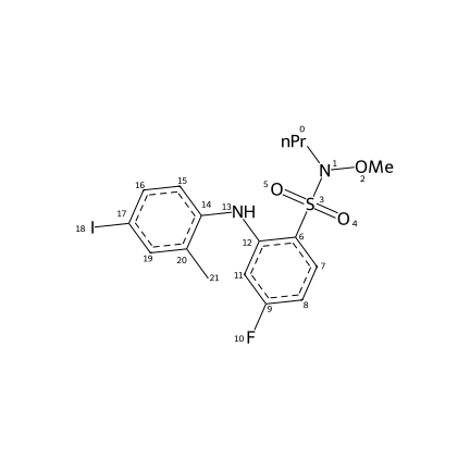 CCCN(OC)S(=O)(=O)c1ccc(F)cc1Nc1ccc(I)cc1C